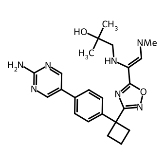 CN/C=C(\NCC(C)(C)O)c1nc(C2(c3ccc(-c4cnc(N)nc4)cc3)CCC2)no1